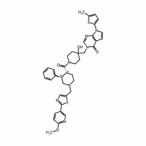 COc1ccc(-c2ncc(CN3CC[C@@H](C(=O)N4CCC(O)(Cn5cnc6c(ccn6-c6ccc(C)s6)c5=O)CC4)[C@H](c4ccccc4)C3)s2)cn1